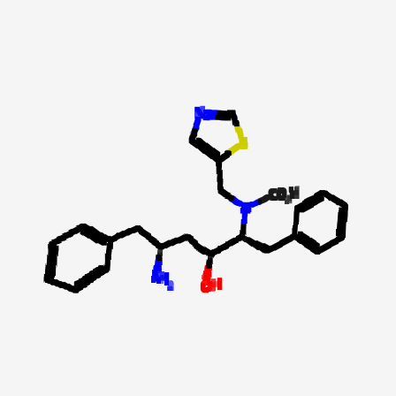 N[C@@H](Cc1ccccc1)C[C@H](O)[C@H](Cc1ccccc1)N(Cc1cncs1)C(=O)O